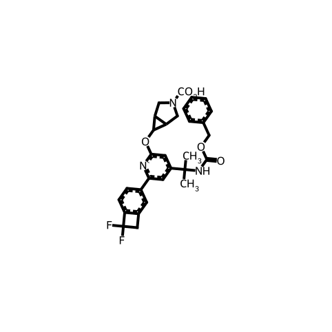 CC(C)(NC(=O)OCc1ccccc1)c1cc(OC2C3CN(C(=O)O)CC32)nc(-c2ccc3c(c2)CC3(F)F)c1